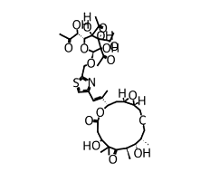 CC(=O)C(O)[C@H]1O[C@H](OCc2nc(C=C(C)[C@@H]3C[C@@H]4O[C@@H]4CCC[C@H](C)[C@H](O)[C@@H](C)C(=O)C(C)(C)[C@@H](O)CC(=O)O3)cs2)[C@@](O)(C(C)=O)[C@](O)(C(C)=O)[C@@]1(O)C(C)=O